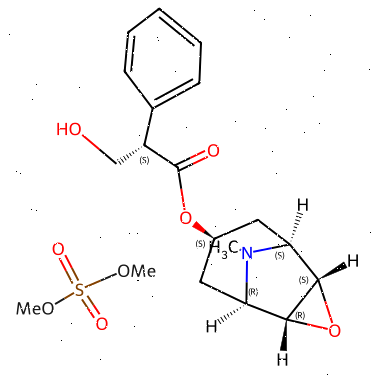 CN1[C@@H]2C[C@@H](OC(=O)[C@H](CO)c3ccccc3)C[C@H]1[C@@H]1O[C@@H]12.COS(=O)(=O)OC